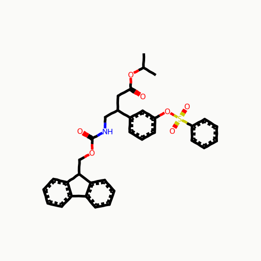 CC(C)OC(=O)CC(CNC(=O)OCC1c2ccccc2-c2ccccc21)c1cccc(OS(=O)(=O)c2ccccc2)c1